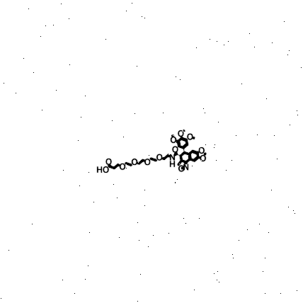 COc1cc([C@@H]2c3cc4c(cc3C3=NOCC3[C@@H]2C(=O)NCCOCCOCCOCCOCCC(=O)O)OCO4)cc(OC)c1OC